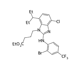 CCOC(=O)CCCn1c(Nc2ccc(C(F)(F)F)cc2Br)nc2c(Cl)ccc(C(CC)CC)c21